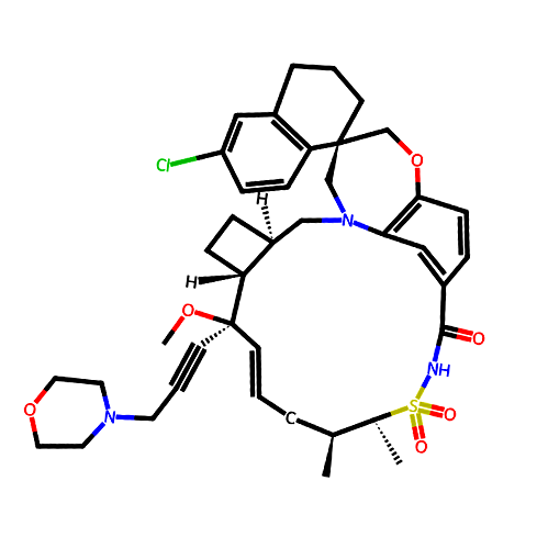 CO[C@]1(C#CCN2CCOCC2)/C=C/C[C@H](C)[C@@H](C)S(=O)(=O)NC(=O)c2ccc3c(c2)N(C[C@@H]2CC[C@H]21)C[C@@]1(CCCc2cc(Cl)ccc21)CO3